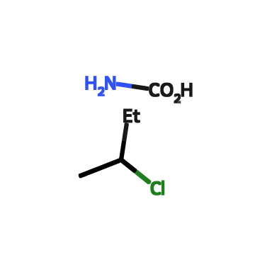 CCC(C)Cl.NC(=O)O